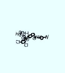 N#Cc1ccc(CNC(=O)c2cccc3cc(N(CCP(=O)(O)O)S(=O)(=O)c4cc(Cl)cc(Cl)c4)ccc23)cc1